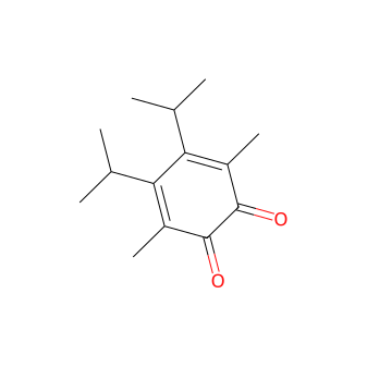 CC1=C(C(C)C)C(C(C)C)=C(C)C(=O)C1=O